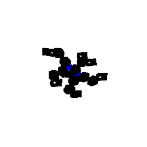 N#Cc1cccc(-c2ccc3c(c2)c2cc(-c4cccc(C#N)c4)ccc2n3-c2cc(-c3cc(C#N)cc(C#N)c3)cc(-n3c4ccc(-c5cccc(C#N)c5)cc4c4cc(-c5cccc(C#N)c5)ccc43)c2C#N)c1